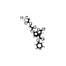 C=CC(=O)OCC(=O)OC1C2CC3C1OC(=O)C3C2C(=O)OC1CCCCC1